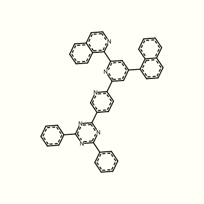 c1ccc(-c2nc(-c3ccccc3)nc(-c3ccc(-c4cc(-c5cccc6ccccc56)cc(-c5nccc6ccccc56)n4)nc3)n2)cc1